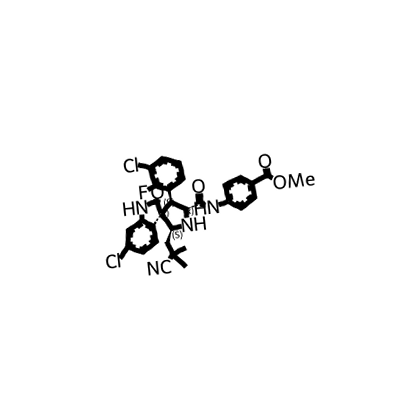 COC(=O)c1ccc(NC(=O)[C@@H]2N[C@@H](CC(C)(C)C#N)[C@@]3(C(=O)Nc4cc(Cl)ccc43)[C@H]2c2cccc(Cl)c2F)cc1